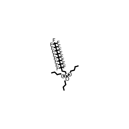 CCCCO[Si](CCC(F)(F)C(F)(F)C(F)(F)C(F)(F)C(F)(F)C(F)(F)C(F)(F)C(F)(F)F)(OCCCC)OCCCC